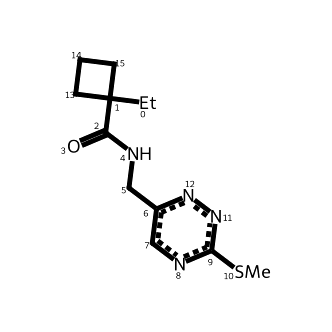 CCC1(C(=O)NCc2cnc(SC)nn2)CCC1